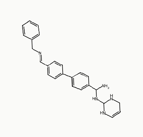 NC(NC1NC=CCN1)c1ccc(-c2ccc(/C=N/Cc3ccccc3)cc2)cc1